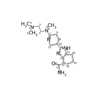 CN(C)CCN(C)c1ccc(-c2nc3c(C(N)=O)cccc3[nH]2)cn1